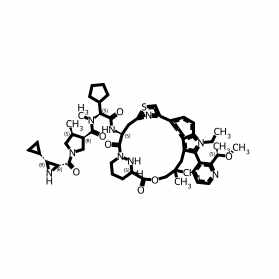 CCn1c(-c2cccnc2[C@H](C)OC)c2c3cc(ccc31)-c1csc(n1)C[C@H](NC(=O)[C@H](C1CCCC1)N(C)C(=O)[C@H]1CN(C(=O)[C@@H]3N[C@@H]3C3CC3)C[C@H]1C)C(=O)N1CCC[C@H](N1)C(=O)OCC(C)(C)C2